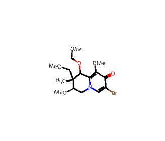 COCOC1c2c(OC)c(=O)c(Br)cn2CC(OC)C1(C)COC